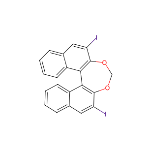 Ic1cc2ccccc2c2c1OCOc1c(I)cc3ccccc3c1-2